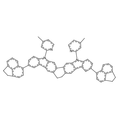 Cc1ccnc(-n2c3ccc(-c4ccc5c6c(cccc46)CC5)cc3c3cc4c(cc32)-c2cc3c(cc2CC4)c2cc(-c4ccc5c6c(cccc46)CC5)ccc2n3-c2cc(C)ccn2)c1